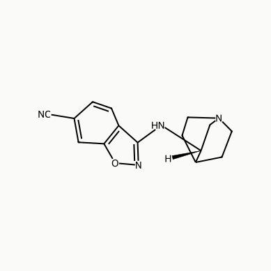 N#Cc1ccc2c(N[C@@H]3CN4CCC3CC4)noc2c1